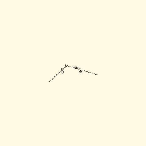 CCCCCCCCCCCCCC(=O)OCCCNCCCCCCN(C)CCCOC(=O)CCCCCCCCCCCCC